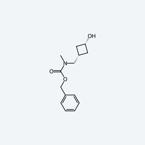 CN(C[C@H]1C[C@@H](O)C1)C(=O)OCc1ccccc1